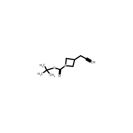 C#CCC1CN(C(=O)OC(C)(C)C)C1